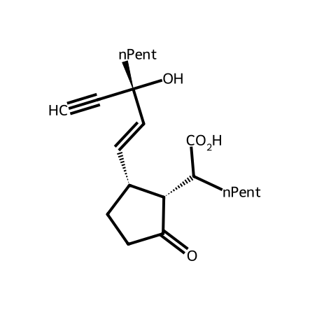 C#C[C@](O)(C=C[C@H]1CCC(=O)[C@H]1C(CCCCC)C(=O)O)CCCCC